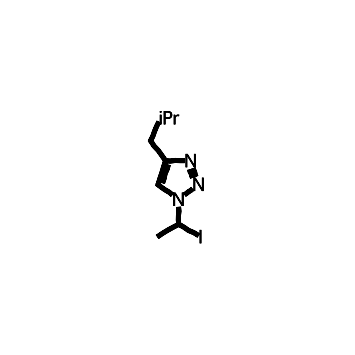 CC(C)Cc1cn(C(C)I)nn1